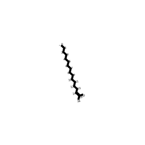 [CH2]CCCCCCCCCCCCCC=C(C)C